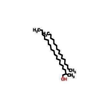 CCCCCCCCCCCCCCCC.CCCCCCCCCCCCCCCCCCC(C)CO